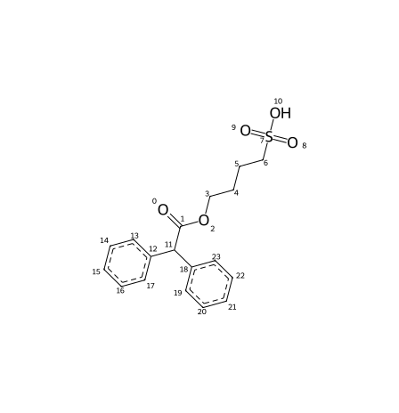 O=C(OCCCCS(=O)(=O)O)C(c1ccccc1)c1ccccc1